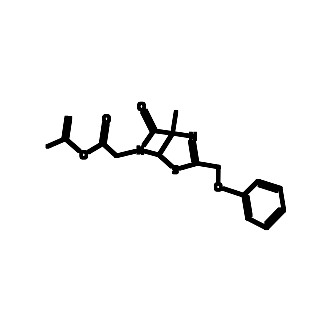 C=C(C)OC(=O)CN1C(=O)C2(C)N=C(COc3ccccc3)SC12